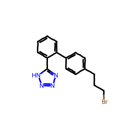 BrCCCc1ccc(-c2ccccc2-c2nnn[nH]2)cc1